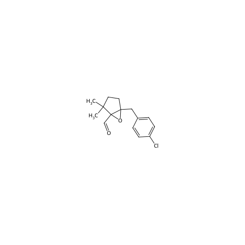 CC1(C)CCC2(Cc3ccc(Cl)cc3)OC12C=O